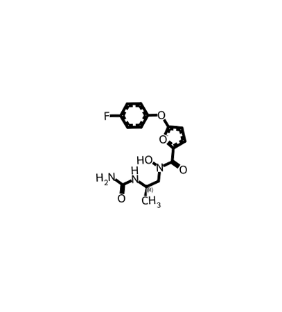 C[C@H](CN(O)C(=O)c1ccc(Oc2ccc(F)cc2)o1)NC(N)=O